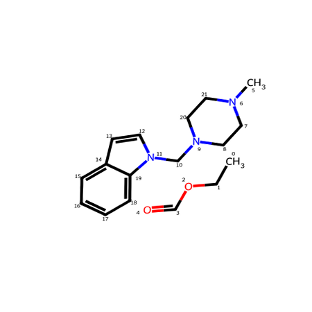 CCOC=O.CN1CCN(Cn2ccc3ccccc32)CC1